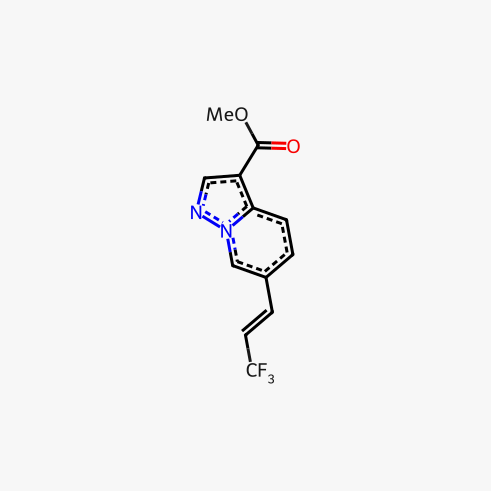 COC(=O)c1cnn2cc(C=CC(F)(F)F)ccc12